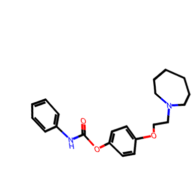 O=C(Nc1ccccc1)Oc1ccc(OCCN2CCCCCC2)cc1